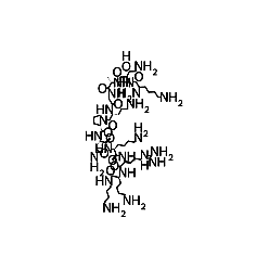 C[C@H](NC(=O)[C@@H](NC(=O)[C@@H](N)CCCCN)[C@@H](O)CN)C(=O)NCC(=O)N[C@H](CCCN)C(=O)N1CCC[C@H]1C(=O)N[C@@H](CC(N)=O)C(=O)N[C@@H](CCCCN)C(=O)N/C(=C\CCNC(=N)N)C(=O)N[C@@H](CCCCN)C(=O)NCCCCN